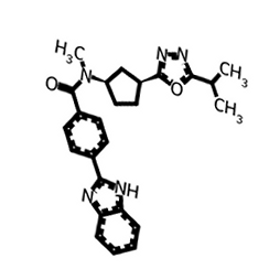 CC(C)c1nnc([C@H]2CC[C@@H](N(C)C(=O)c3ccc(-c4nc5ccccc5[nH]4)cc3)C2)o1